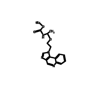 CC(NC(=O)OC(C)(C)C)OCCn1cnc2cnc3ccccc3c21